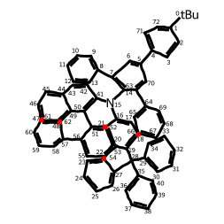 CC(C)(C)c1ccc(-c2cc(-c3ccccc3)c(N(c3ccc4c(c3)-c3ccccc3C4(c3ccccc3)c3ccccc3)c3ccc4ccccc4c3-c3ccccc3-c3ccccc3)c(-c3ccccc3)c2)cc1